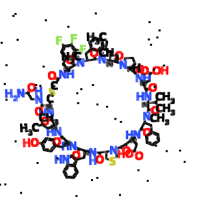 CCCC[C@H]1C(=O)N2CCC[C@@H]2C(=O)N[C@@H](CC(=O)O)C(=O)N[C@@H](C(C)C)C(=O)N(C)C(Cc2ccccc2)C(=O)N[C@@H](CC(=O)O)C2OC2N2CSCC2C(=O)N[C@@H](Cc2c[nH]c3ccccc23)C(=O)N[C@@H](Cc2ccc(O)cc2)C(=O)N[C@@H](CC(C)C)C(=O)N[C@H](C(=O)NCC(N)=O)CSCC(=O)N[C@@H](Cc2cc(F)c(F)c(F)c2)C(=O)N(C)C(Cc2ccccc2)C(=O)N1C